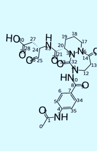 CC(=O)Nc1ccc(C(=O)NN2CCC(=O)N3CCC[C@@H](C(=O)N[C@H](C=O)CC(=O)O)N3C2=O)cc1